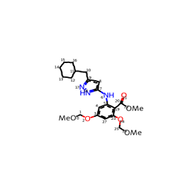 COCOc1cc(Nc2cc(CC3CCCCC3)n[nH]2)c(C(=O)OC)c(OCOC)c1